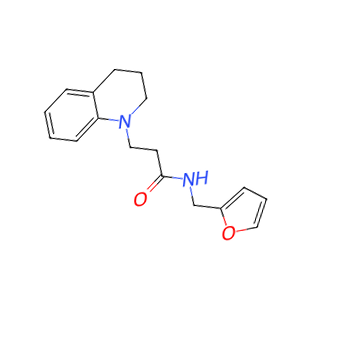 O=C(CCN1CCCc2ccccc21)NCc1ccco1